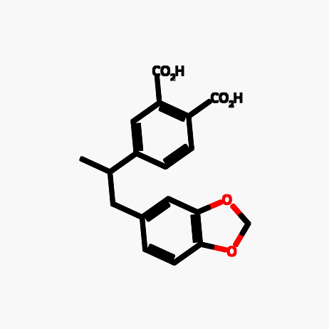 CC(Cc1ccc2c(c1)OCO2)c1ccc(C(=O)O)c(C(=O)O)c1